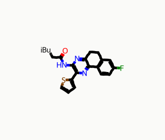 CCC(C)CC(=O)Nc1nc2c(nc1-c1cccs1)-c1ccc(F)cc1CC2